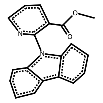 COC(=O)c1cccnc1-n1c2ccccc2c2ccccc21